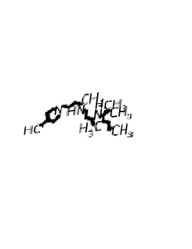 C#CC1CCN(CCCC(=C)NCCC(CC)NC(CCCC)=C(C)C)CC1